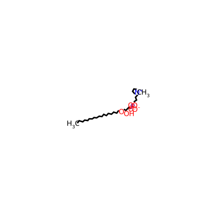 CCCCCCCCCCCCCCCCCCOCC(O)COP(=O)([O-])OCCCC[N+]1(C)CCCC1